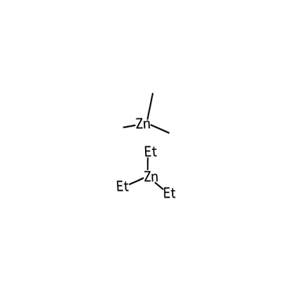 C[CH2][Zn]([CH2]C)[CH2]C.[CH3][Zn]([CH3])[CH3]